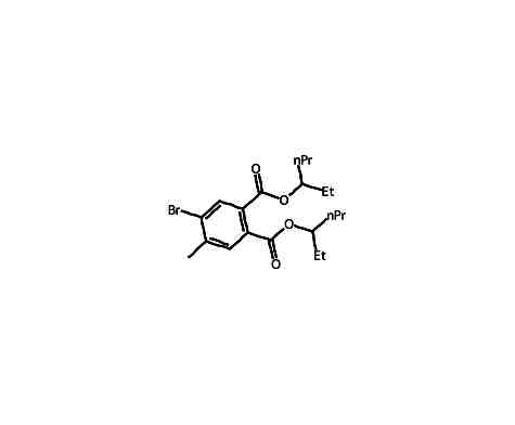 CCCC(CC)OC(=O)c1cc(C)c(Br)cc1C(=O)OC(CC)CCC